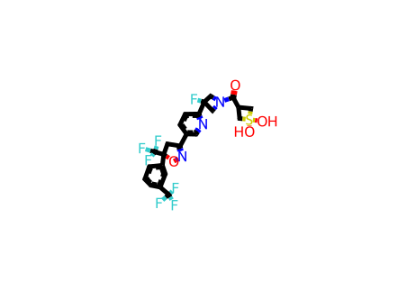 O=C(C1CS(O)(O)C1)N1CC(F)(c2ccc(C3=NOC(c4cccc(C(F)(F)F)c4)(C(F)(F)F)C3)cn2)C1